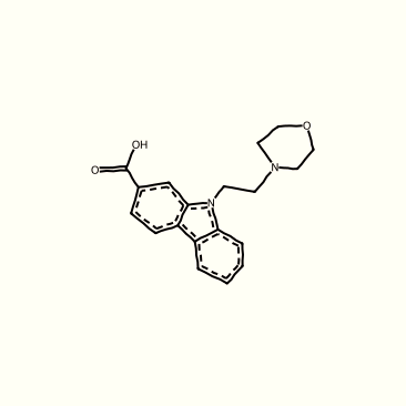 O=C(O)c1ccc2c3ccccc3n(CCN3CCOCC3)c2c1